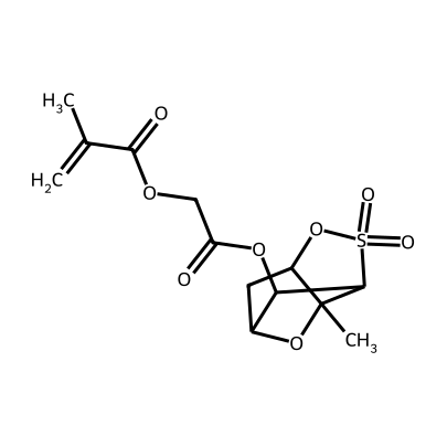 C=C(C)C(=O)OCC(=O)OC1C2CC3OS(=O)(=O)C1C3(C)O2